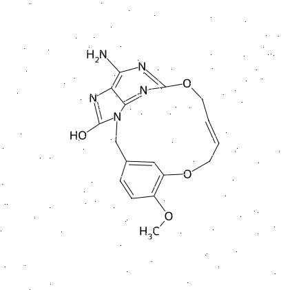 COc1ccc2cc1OC/C=C\COc1nc(N)c3nc(O)n(c3n1)C2